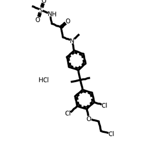 CN(CC(=O)CNS(C)(=O)=O)c1ccc(C(C)(C)c2cc(Cl)c(OCCCl)c(Cl)c2)cc1.Cl